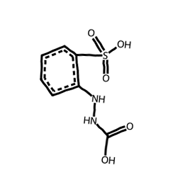 O=C(O)NNc1ccccc1S(=O)(=O)O